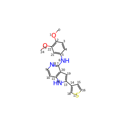 COc1ccc(Nc2nccc3[nH]c(-c4ccsc4)cc23)cc1OC